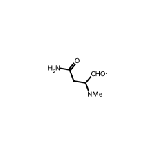 CNC([C]=O)CC(N)=O